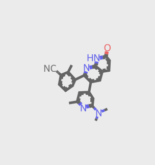 Cc1cc(-c2cc3ccc(=O)[nH]c3nc2-c2cccc(C#N)c2C)cc(N(C)C)n1